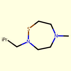 CC(C)CN1CCN(C)CCS1